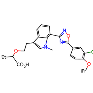 CCC(OCCc1cn(C)c2c(-c3noc(-c4ccc(OC(C)C)c(Cl)c4)n3)cccc12)C(=O)O